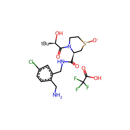 CC(C)(C)[C@@H](O)C(=O)N1CC[S+]([O-])C[C@H]1C(=O)NCc1cc(Cl)ccc1CN.O=C(O)C(F)(F)F